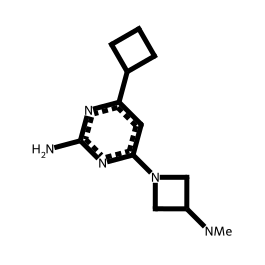 CNC1CN(c2cc(C3CCC3)nc(N)n2)C1